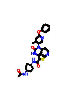 CC(=O)N[C@H]1CC[C@H](NC(=O)c2sc3nccc4c3c2NC(=O)N4c2cnc(Oc3ccccc3)cc2C)CC1